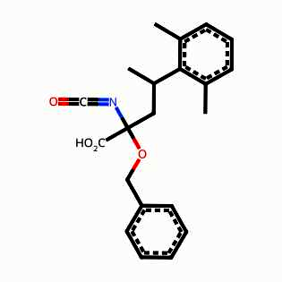 Cc1cccc(C)c1C(C)CC(N=C=O)(OCc1ccccc1)C(=O)O